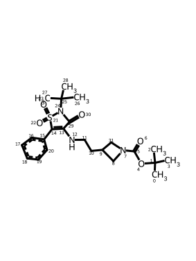 CC(C)(C)OC(=O)N1CC(CCNC2=C(c3ccccc3)S(=O)(=O)N(C(C)(C)C)C2=O)C1